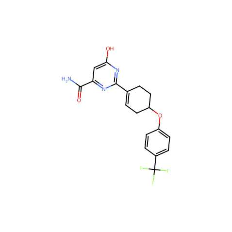 NC(=O)c1cc(O)nc(C2=CCC(Oc3ccc(C(F)(F)F)cc3)CC2)n1